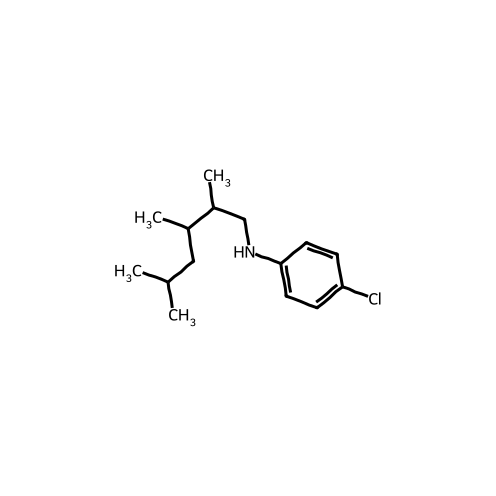 CC(C)CC(C)C(C)CNc1ccc(Cl)cc1